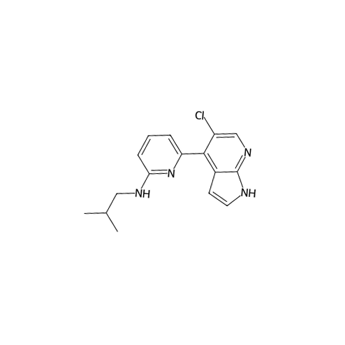 CC(C)CNc1cccc(-c2c(Cl)cnc3[nH]ccc23)n1